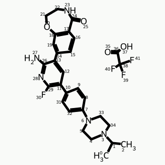 CC(C)N1CCN(c2ccc(-c3cc(-c4ccc5c(c4)OCCNC5=O)c(N)nc3F)cc2)CC1.O=C(O)C(F)(F)F